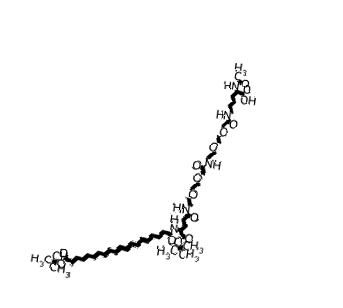 CC(=O)NC(CCCCNC(=O)COCCOCCNC(=O)COCCOCCNC(=O)CCC(NC(=O)CCCCCCCCCCCCCCCCCCC(=O)OC(C)(C)C)C(=O)OC(C)(C)C)C(=O)O